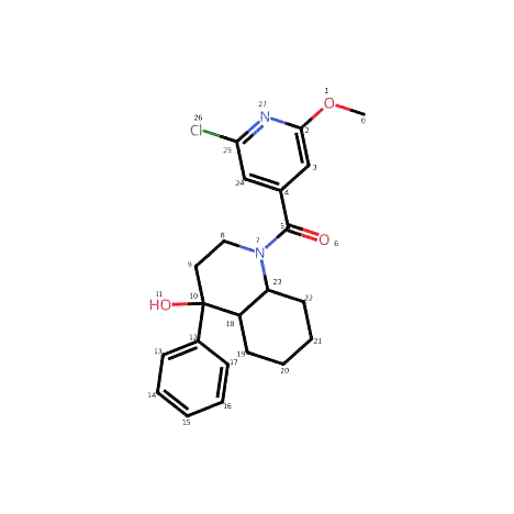 COc1cc(C(=O)N2CCC(O)(c3ccccc3)C3CCCCC32)cc(Cl)n1